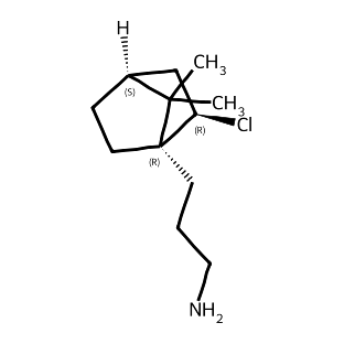 CC1(C)[C@H]2CC[C@]1(CCCN)[C@H](Cl)C2